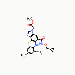 COC(=O)Cn1cnc2c(F)c(Nc3ccc(C)cc3C)c(C(=O)NOCC3CC3)cc21